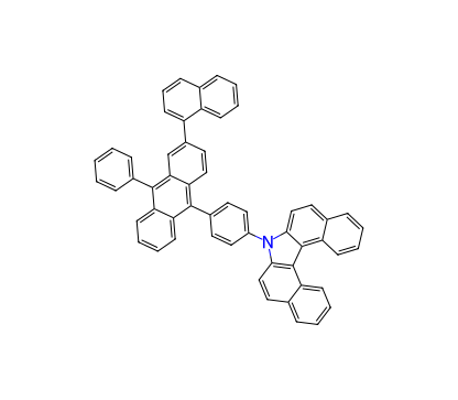 c1ccc(-c2c3ccccc3c(-c3ccc(-n4c5ccc6ccccc6c5c5c6ccccc6ccc54)cc3)c3ccc(-c4cccc5ccccc45)cc23)cc1